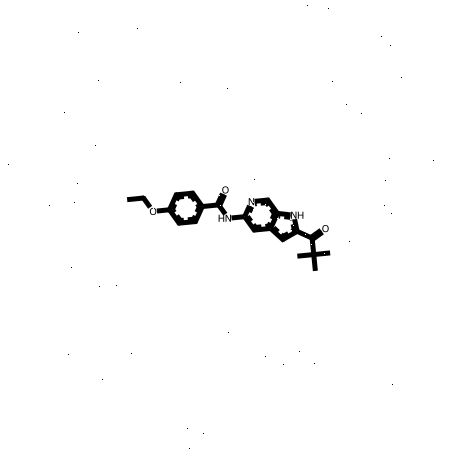 CCOc1ccc(C(=O)Nc2cc3cc(C(=O)C(C)(C)C)[nH]c3cn2)cc1